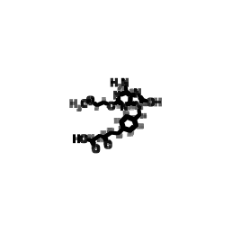 COCCOc1nc(N)c2nc(O)n(Cc3ccc(CCC(=O)CC(=O)O)cc3)c2n1